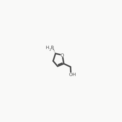 B[C@H]1CC=C(CO)O1